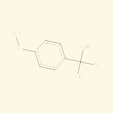 COc1ccc(C(C)(C)Br)cc1